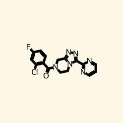 O=C(c1ccc(F)cc1Cl)N1CCn2c(nnc2-c2ncccn2)C1